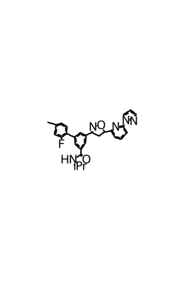 Cc1ccc(-c2cc(C(=O)NC(C)C)cc(C3=NOC(c4cccc(-n5cccn5)n4)C3)c2)c(F)c1